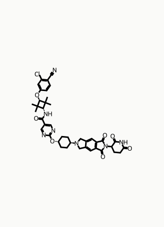 CC1(C)[C@H](NC(=O)c2cnc(O[C@H]3CC[C@H](N4Cc5cc6c(cc5C4)C(=O)N(C4CCC(=O)NC4=O)C6=O)CC3)nc2)C(C)(C)[C@H]1Oc1ccc(C#N)c(Cl)c1